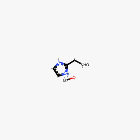 CC[O].O=CCc1ncc[nH]1